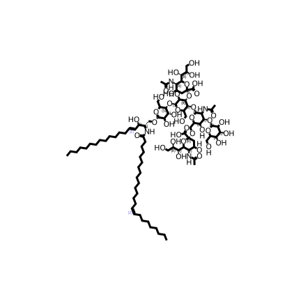 CCCCCCCC/C=C\CCCCCCCCCCCCCC(=O)N[C@@H](CO[C@@H]1OC(CO)[C@@H](O[C@@H]2OC(CO)[C@H](O[C@@H]3OC(CO[C@]4(C(=O)O)CC(O)[C@@H](NC(C)=O)C([C@H](O)[C@H](O)CO)O4)[C@H](O)[C@H](O[C@@H]4OC(CO)[C@H](O)[C@H](O)C4O)C3NC(C)=O)[C@H](O[C@]3(C(=O)O)CC(O)[C@@H](NC(C)=O)C([C@H](O)[C@H](O)CO)O3)C2O)[C@H](O)C1O)[C@H](O)/C=C/CCCCCCCCCCCCC